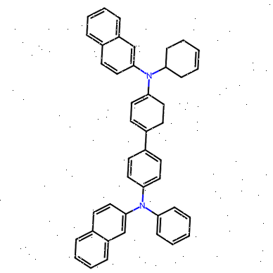 C1=CCC(N(C2=CC=C(c3ccc(N(c4ccccc4)c4ccc5ccccc5c4)cc3)CC2)c2ccc3ccccc3c2)CC1